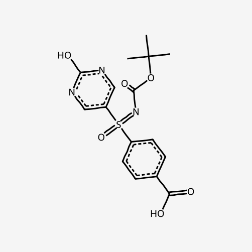 CC(C)(C)OC(=O)N=S(=O)(c1ccc(C(=O)O)cc1)c1cnc(O)nc1